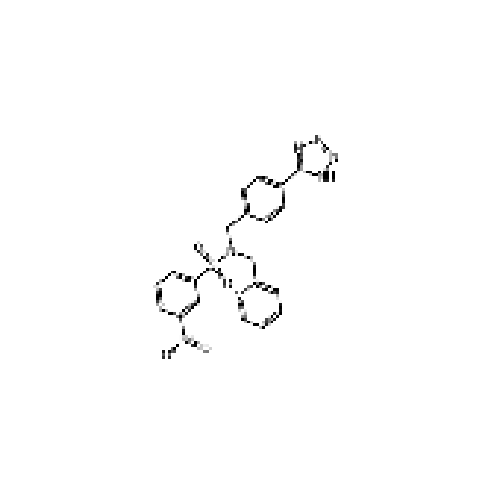 O=[N+]([O-])c1cccc(S(=O)(=O)N(Cc2ccc(-c3nnn[nH]3)cc2)Cc2ccccn2)c1